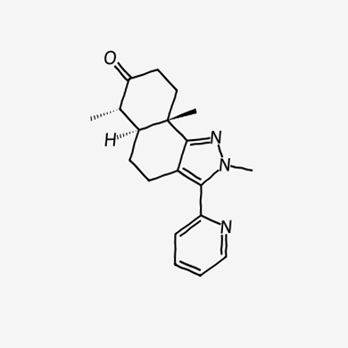 C[C@@H]1C(=O)CC[C@]2(C)c3nn(C)c(-c4ccccn4)c3CC[C@@H]12